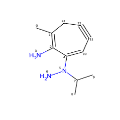 CC1=C(N)C(N(N)C(C)C)=CC#CC1